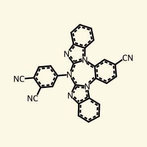 N#Cc1ccc2c(c1)n1c3ccccc3nc1n(-c1ccc(C#N)c(C#N)c1)c1nc3ccccc3n21